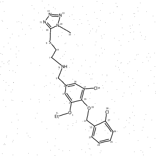 CCOc1cc(CNCCSc2nnnn2C)cc(Cl)c1OCc1ccccc1Cl